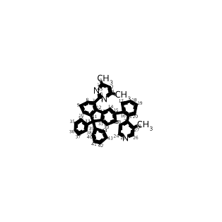 Cc1cc(C)nc(-c2cccc3c2-c2cc(-c4ccccc4-c4ccncc4C)ccc2C3(c2ccccc2)c2ccccc2)n1